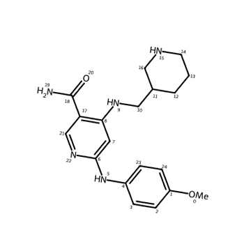 COc1ccc(Nc2cc(NCC3CCCNC3)c(C(N)=O)cn2)cc1